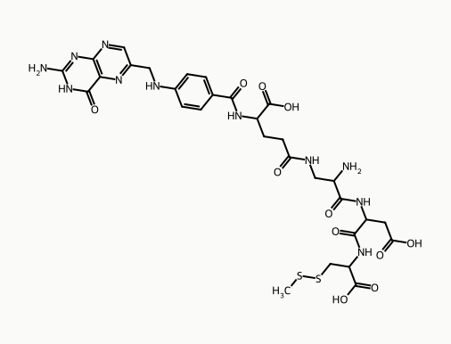 CSSCC(NC(=O)C(CC(=O)O)NC(=O)C(N)CNC(=O)CCC(NC(=O)c1ccc(NCc2cnc3nc(N)[nH]c(=O)c3n2)cc1)C(=O)O)C(=O)O